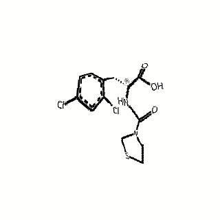 O=C(O)[C@@H](Cc1ccc(Cl)cc1Cl)NC(=O)N1CCSC1